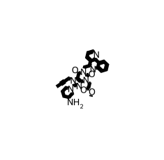 CC#CCn1c(N2CCCC(N)C2)nc2c1c(=O)n(Cc1nc3ccccc3c3ncccc13)c(=O)n2CC(=O)OC